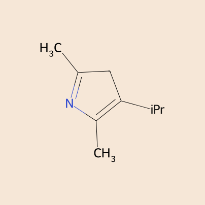 CC1=NC(C)=C(C(C)C)C1